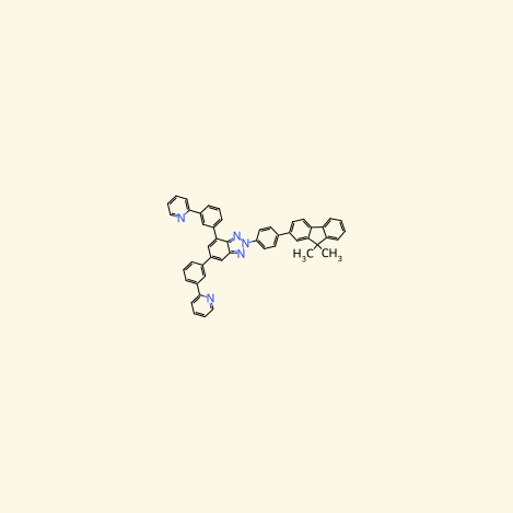 CC1(C)c2ccccc2-c2ccc(-c3ccc(-n4nc5cc(-c6cccc(-c7ccccn7)c6)cc(-c6cccc(-c7ccccn7)c6)c5n4)cc3)cc21